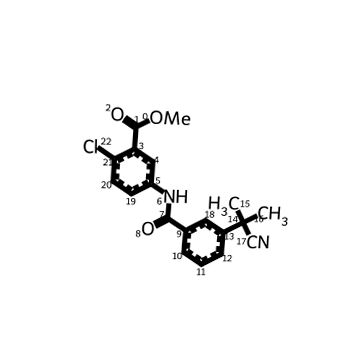 COC(=O)c1cc(NC(=O)c2cccc(C(C)(C)C#N)c2)ccc1Cl